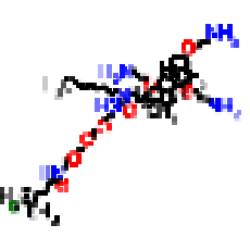 CCCCCCCCN(CCC[C@@H](C)C1CC[C@H]2C3[C@H](OCCCN)CC4C[C@H](OCCCN)CCC4(C)[C@H]3C[C@H](OCCCN)C12C)C(=O)NCCOCCOCCOCCNC(=O)CCCC[Si](C)(C)Cl